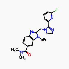 CCCn1c(Cn2ccnc2-c2cccc(F)n2)nc2ccc(C(=O)N(C)C)cc21